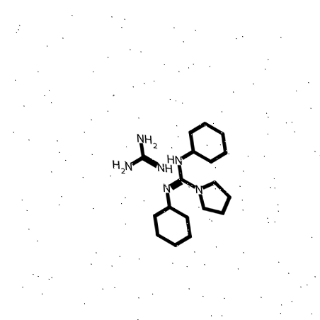 C1CCC(N=C(NC2CCCCC2)N2CCCC2)CC1.N=C(N)N